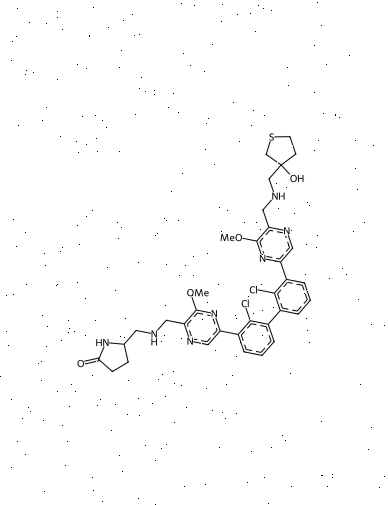 COc1nc(-c2cccc(-c3cccc(-c4cnc(CNCC5(O)CCSC5)c(OC)n4)c3Cl)c2Cl)cnc1CNCC1CCC(=O)N1